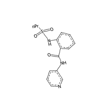 CCCS(=O)(=O)Nc1ccccc1C(=O)Nc1cccnc1